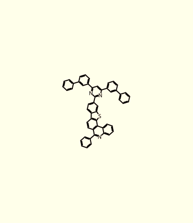 c1ccc(-c2cccc(-c3cc(-c4cccc(-c5ccccc5)c4)nc(-c4ccc5c(c4)sc4c5ccc5c(-c6ccccc6)nc6ccccc6c54)n3)c2)cc1